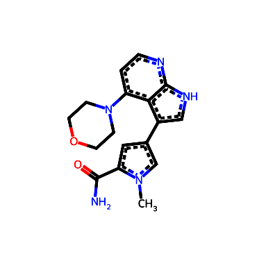 Cn1cc(-c2c[nH]c3nccc(N4CCOCC4)c23)cc1C(N)=O